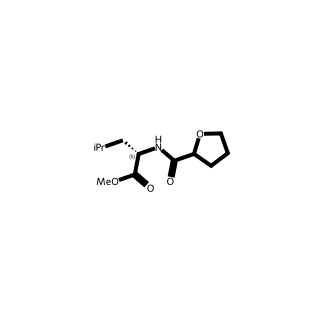 COC(=O)[C@H](CC(C)C)NC(=O)C1CCCO1